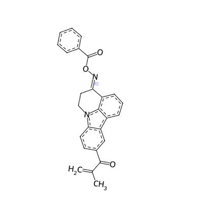 C=C(C)C(=O)c1ccc2c(c1)c1cccc3c1n2CC/C3=N\OC(=O)c1ccccc1